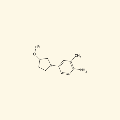 CCCOC1CCN(c2ccc(N)c(C)c2)C1